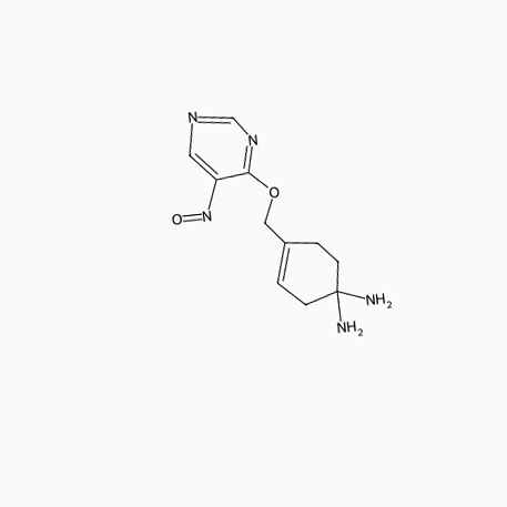 NC1(N)CC=C(COc2ncncc2N=O)CC1